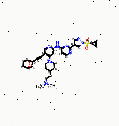 CN(C)CCC1CCN(c2cc(Nc3ccnc(-c4cnn(S(=O)(=O)C5CC5)c4)n3)ncc2C#CC2CC3CCC2O3)CC1